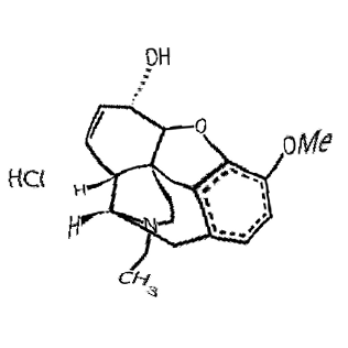 COc1ccc2c3c1OC1[C@@H](O)C=C[C@H]4[C@@H](C2)N(C)CC[C@]314.Cl